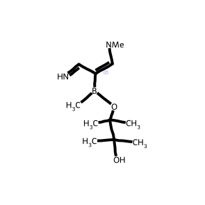 CN/C=C(\C=N)B(C)OC(C)(C)C(C)(C)O